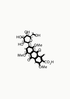 COc1cc2c(c(C)c1C(=O)O)C(=O)c1c(OC)c([C@@H]3O[C@H](CO)[C@@H](O)[C@H](O)[C@H]3O)cc(OC)c1C2=O